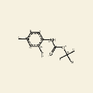 Cc1ccc(NC(=O)OC(C)(C)C)c(F)c1